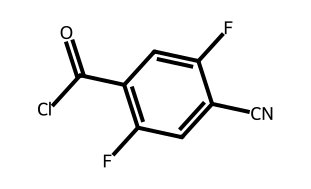 N#Cc1cc(F)c(C(=O)Cl)cc1F